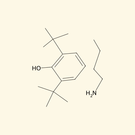 CC(C)(C)c1cccc(C(C)(C)C)c1O.CCCCN